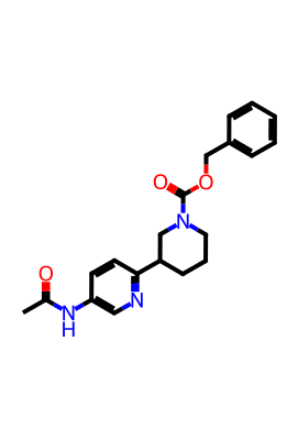 CC(=O)Nc1ccc(C2CCCN(C(=O)OCc3ccccc3)C2)nc1